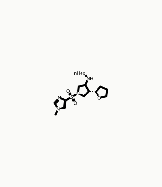 CCCCCCNC1CN(S(=O)(=O)c2cn(C)cn2)CC1[C@@H]1CCCO1